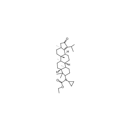 CCOC(=O)N(C1CC1)C1CC[C@]2(C)[C@H]3CC[C@@H]4C5=C(C(C)C)C(=O)C[C@]5(C)CC[C@@]4(C)[C@]3(C)CC[C@H]2C1(C)C